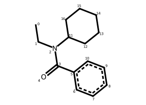 CCN(C(=O)c1[c]cccc1)C1CCCCC1